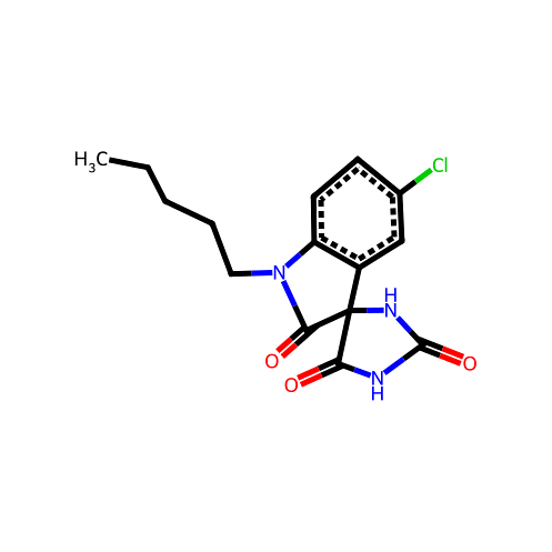 CCCCCN1C(=O)C2(NC(=O)NC2=O)c2cc(Cl)ccc21